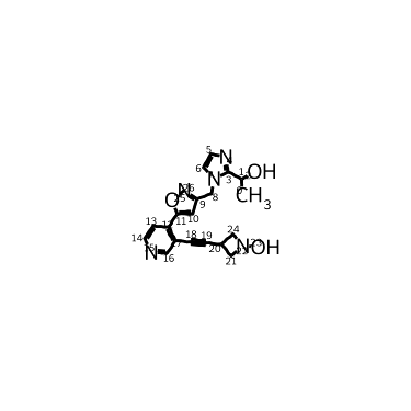 CC(O)c1nccn1Cc1cc(-c2ccncc2C#CC2CN(O)C2)on1